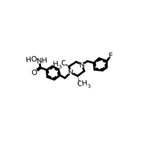 C[C@@H]1CN(Cc2cccc(F)c2)C[C@H](C)N1Cc1ccc(C(=O)NO)cc1